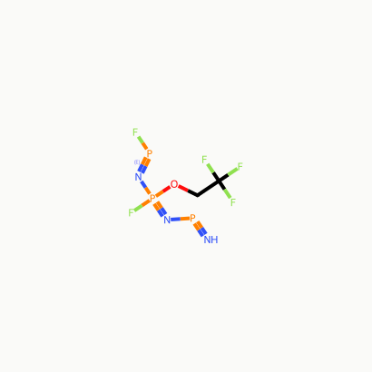 N=PN=P(F)(/N=P/F)OCC(F)(F)F